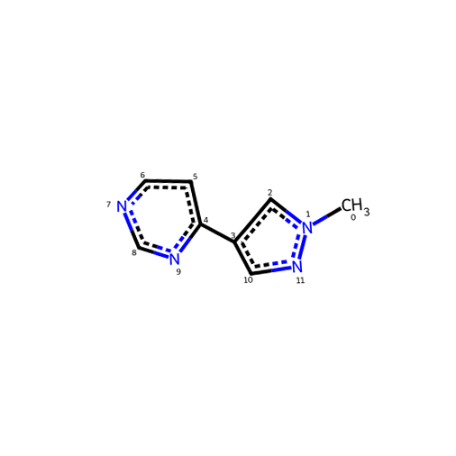 Cn1cc(-c2ccncn2)cn1